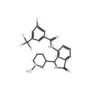 CN1CCCC(C2NC(=O)c3cccc(NC(=O)c4cc(F)cc(C(F)(F)F)c4)c32)C1